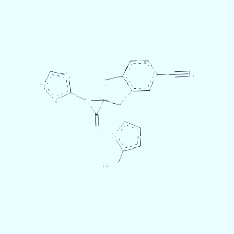 Cc1ccc([C@H]2c3cc(C#N)ccc3C[C@@]23C(=O)N3c2nncs2)s1